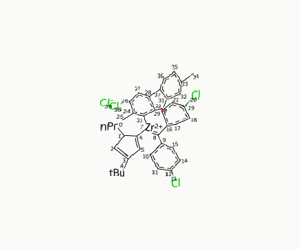 CCCC1C=C(C(C)(C)C)C=[C]1[Zr+2](=[C](c1ccc(Cl)cc1)c1ccc(Cl)cc1)[c]1c(C)ccc2c1Cc1cc(C)ccc1-2.[Cl-].[Cl-]